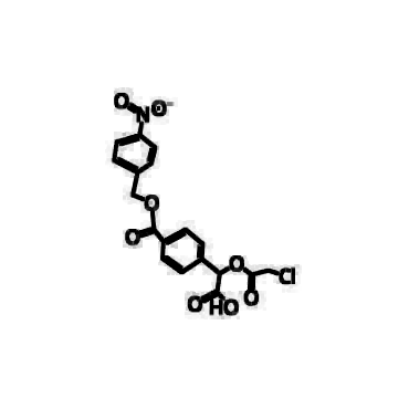 O=C(CCl)OC(C(=O)O)c1ccc(C(=O)OCc2ccc([N+](=O)[O-])cc2)cc1